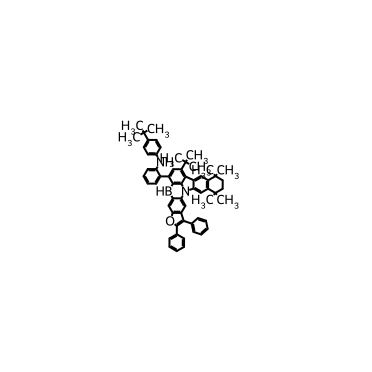 CC(C)(C)c1ccc(Nc2ccccc2-c2cc(C(C)(C)C)c3c4cc5c(cc4n4c3c2Bc2cc3oc(-c6ccccc6)c(-c6ccccc6)c3cc2-4)C(C)(C)CCC5(C)C)cc1